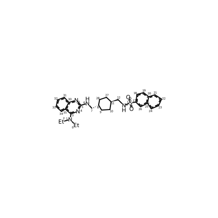 CCN(CC)c1nc(NC[C@H]2CC[C@H](CNS(=O)(=O)c3ccc4ccccc4c3)CC2)nc2ccccc12